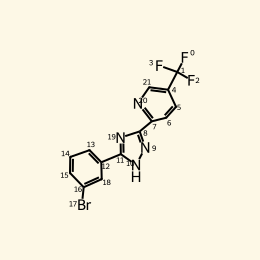 FC(F)(F)c1ccc(-c2n[nH]c(-c3cccc(Br)c3)n2)nc1